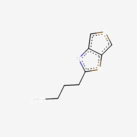 CCCCCCCCCc1nc2[c]s[c]c2s1